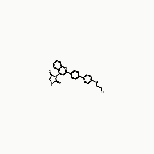 O=C1CNC(=O)N1c1cc(-c2ccc(-c3ccc(NCCO)cc3)cc2)nc2ccccc12